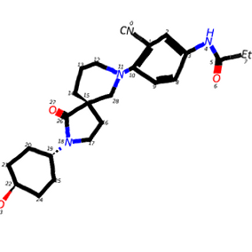 [C-]#[N+]c1cc(NC(=O)CC)ccc1N1CCC[C@]2(CCN([C@H]3CC[C@H](O)CC3)C2=O)C1